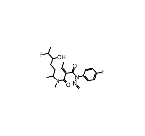 C=NN(C(=O)/C(=C\C)C(=O)N(C)C(C)CCC(O)C(C)F)c1ccc(F)cc1